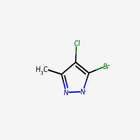 CC1=N[N]C(Br)=C1Cl